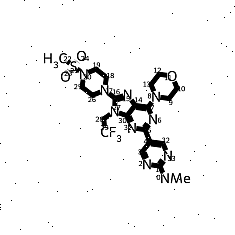 CNc1ncc(-c2nc(N3CCOCC3)c3nc(N4CCN(S(C)(=O)=O)CC4)n(CC(F)(F)F)c3n2)cn1